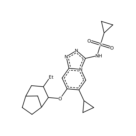 CCC1CC2CCC(C2)C1Oc1cc2nnc(NS(=O)(=O)C3CC3)n2cc1C1CC1